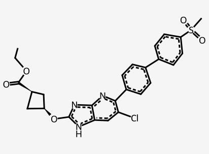 CCOC(=O)[C@H]1C[C@@H](Oc2nc3nc(-c4ccc(-c5ccc(S(C)(=O)=O)cc5)cc4)c(Cl)cc3[nH]2)C1